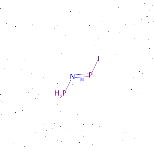 P/N=P/I